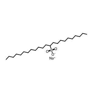 CCCCCCCCCCCCC(CCCCCCCCCC)S(=O)(=O)[O-].[Na+]